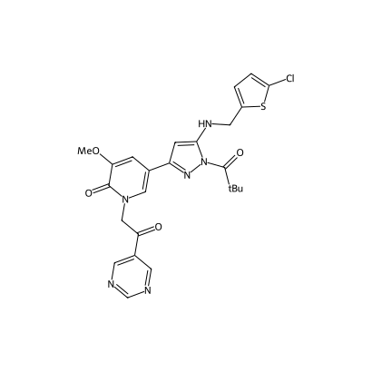 COc1cc(-c2cc(NCc3ccc(Cl)s3)n(C(=O)C(C)(C)C)n2)cn(CC(=O)c2cncnc2)c1=O